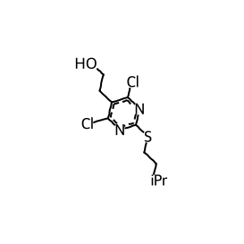 CC(C)CCSc1nc(Cl)c(CCO)c(Cl)n1